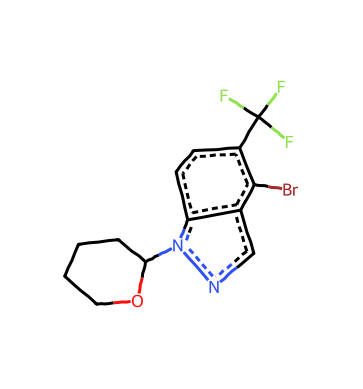 FC(F)(F)c1ccc2c(cnn2C2CCCCO2)c1Br